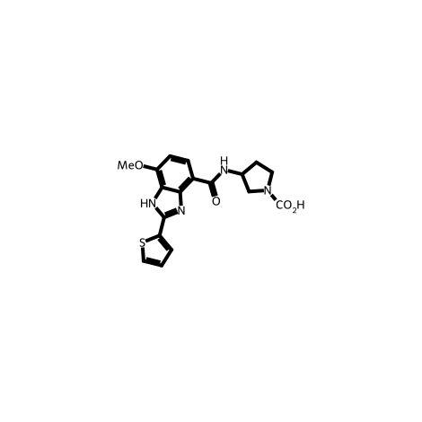 COc1ccc(C(=O)NC2CCN(C(=O)O)C2)c2nc(-c3cccs3)[nH]c12